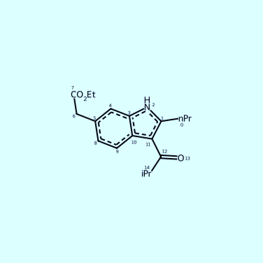 CCCc1[nH]c2cc(CC(=O)OCC)ccc2c1C(=O)C(C)C